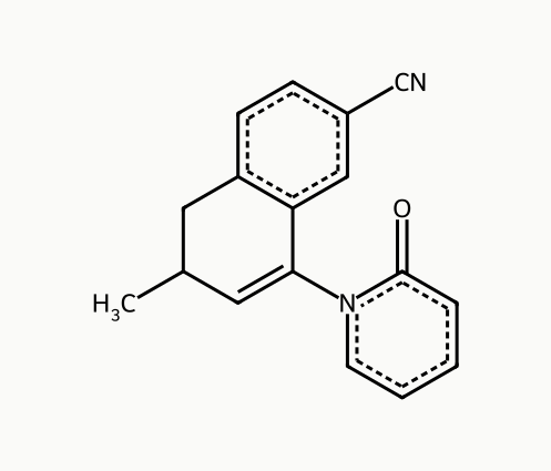 CC1C=C(n2ccccc2=O)c2cc(C#N)ccc2C1